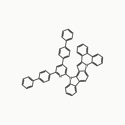 c1ccc(-c2ccc(-c3cc(-c4ccc(-c5ccccc5)cc4)nc(-n4c5ccccc5c5ccc6c(cc7c8ccccc8c8ccccc8n76)c54)c3)cc2)cc1